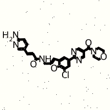 Nc1ccc(/C=C/C(=O)NCc2cc3cc(-c4ncc(C(=O)N5CCOCC5)cn4)cc(Cl)c3o2)cn1